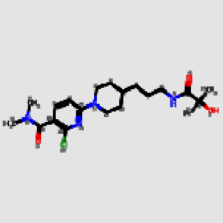 CC(C)C(O)(C(=O)NCCCC1CCN(c2ccc(C(=O)N(C)C)c(Cl)n2)CC1)C(F)(F)F